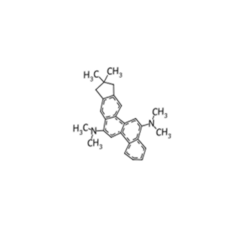 CN(C)c1cc2c3cc4c(cc3c(N(C)C)cc2c2ccccc12)CC(C)(C)C4